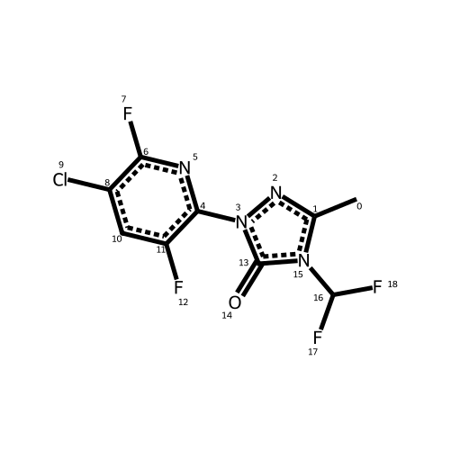 Cc1nn(-c2nc(F)c(Cl)cc2F)c(=O)n1C(F)F